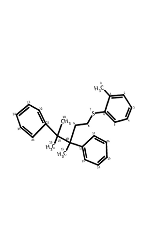 Cc1ccccc1SCCC(C)(c1ccccc1)C(C)(C)c1ccccc1